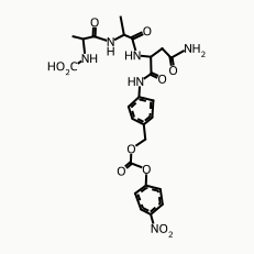 CC(NC(=O)O)C(=O)NC(C)C(=O)NC(CC(N)=O)C(=O)Nc1ccc(COC(=O)Oc2ccc([N+](=O)[O-])cc2)cc1